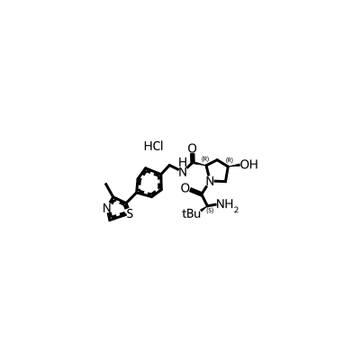 Cc1ncsc1-c1ccc(CNC(=O)[C@H]2C[C@@H](O)CN2C(=O)[C@@H](N)C(C)(C)C)cc1.Cl